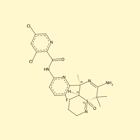 CC1(C)C(N)=N[C@](C)(c2nc(NC(=O)c3ncc(Cl)cc3Cl)ccc2F)[C@@H]2CCCN=[S@]21=O